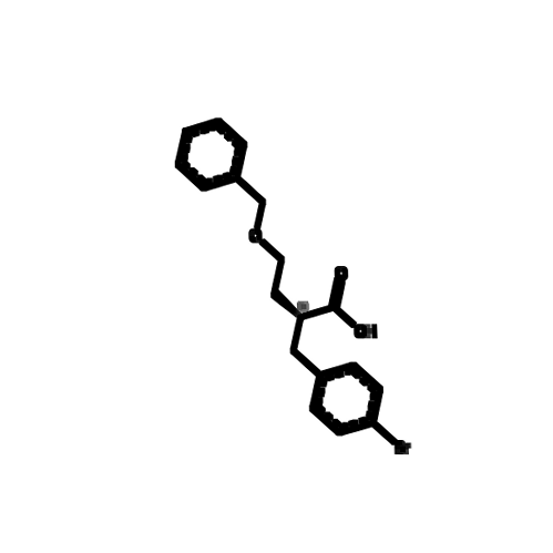 O=C(O)[C@H](CCOCc1ccccc1)Cc1ccc(Br)cc1